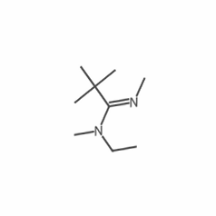 CCN(C)C(=NC)C(C)(C)C